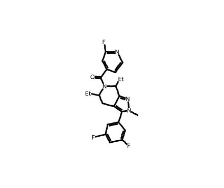 CCC1Cc2c(nn(C)c2-c2cc(F)cc(F)c2)C(CC)N1C(=O)c1ccnc(F)c1